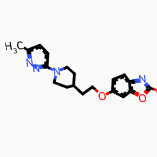 CCOc1nc2ccc(OCCC3CCN(c4ccc(C)nn4)CC3)cc2o1